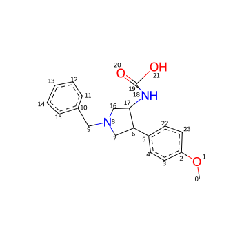 COc1ccc(C2CN(Cc3ccccc3)CC2NC(=O)O)cc1